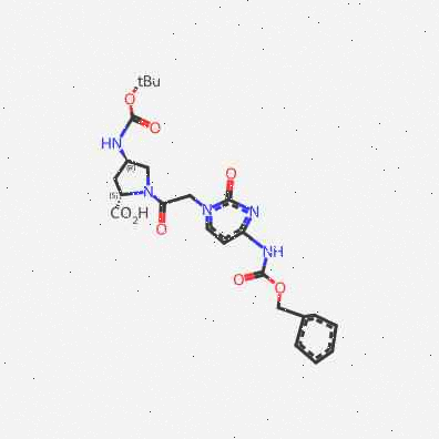 CC(C)(C)OC(=O)N[C@@H]1C[C@@H](C(=O)O)N(C(=O)Cn2ccc(NC(=O)OCc3ccccc3)nc2=O)C1